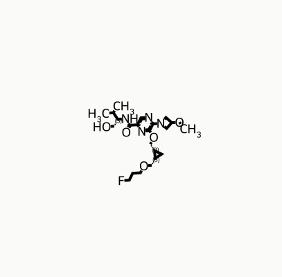 COC1CN(c2ncc(C(=O)N[C@H](CO)C(C)C)nc2OC[C@@H]2C[C@@H]2COCCCF)C1